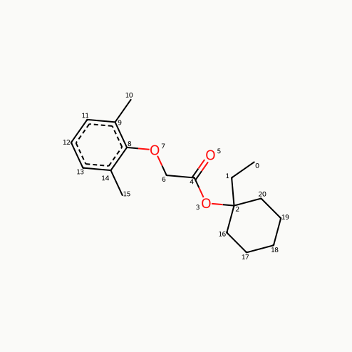 CCC1(OC(=O)COc2c(C)cccc2C)CCCCC1